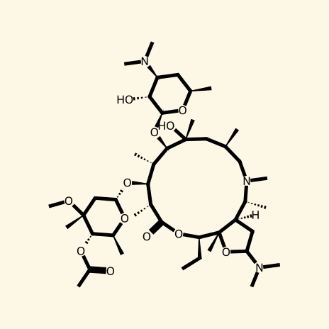 CC[C@H]1OC(=O)[C@H](C)[C@@H](O[C@H]2C[C@@](C)(OC)[C@@H](OC(C)=O)[C@H](C)O2)[C@H](C)[C@@H](O[C@@H]2O[C@H](C)C[C@H](N(C)C)[C@H]2O)[C@](C)(O)C[C@@H](C)CN(C)[C@H](C)[C@H]2CC(N(C)C)O[C@@]21C